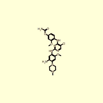 COc1cc(N2CCN(C)CC2)c(N)cc1Nc1ncc(Cl)c(Nc2ccc(OC(N)=O)cc2OC)n1